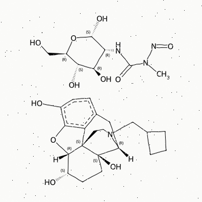 CN(N=O)C(=O)N[C@@H]1[C@@H](O)[C@H](O)[C@@H](CO)O[C@@H]1O.Oc1ccc2c3c1O[C@H]1[C@@H](O)CC[C@@]4(O)[C@@H](C2)N(CC2CCC2)CC[C@]314